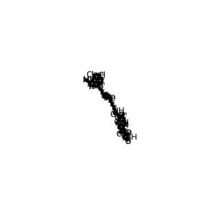 COc1cc(Nc2c(C#N)cnc3cc(OCCCN4CCN(C(=O)CCCCCNC(=O)COc5c(OC)cc(/N=N\c6cccc7c6CN(C6CCC(=O)NC6=O)C7=O)cc5OC)CC4)c(OC)cc23)c(Cl)cc1Cl